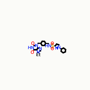 CCn1cnc2c1c(=O)[nH]c(=O)n2Cc1ccc(CNS(=O)(=O)c2ccn(-c3ccccc3)n2)cc1